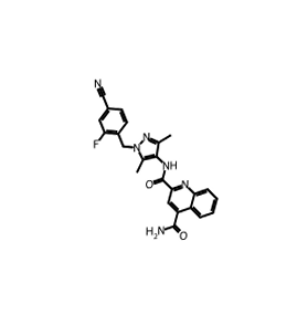 Cc1nn(Cc2ccc(C#N)cc2F)c(C)c1NC(=O)c1cc(C(N)=O)c2ccccc2n1